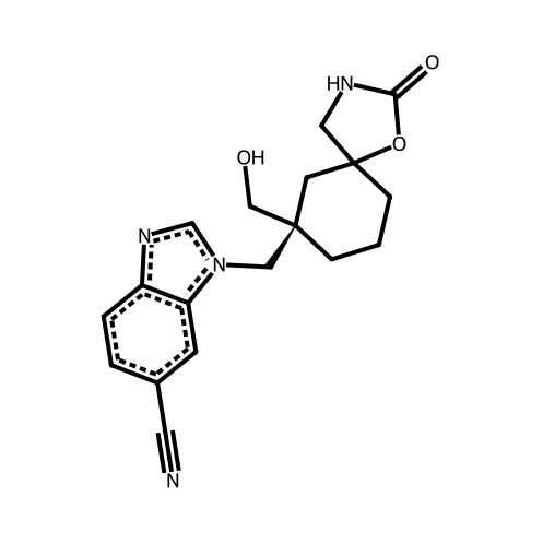 N#Cc1ccc2ncn(C[C@]3(CO)CCCC4(CNC(=O)O4)C3)c2c1